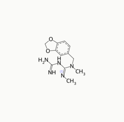 C/N=C(/NC(=N)N)N(C)Cc1ccc2c(c1)OCO2